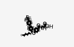 CCCCCC[C@@H](Oc1ccc(C(=O)NCCC(=O)O)cc1)c1ccc(-c2ccc(C(F)(F)F)cc2)nc1